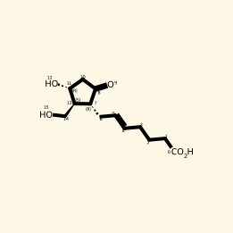 O=C(O)CCCC=CC[C@H]1C(=O)C[C@@H](O)[C@@H]1CO